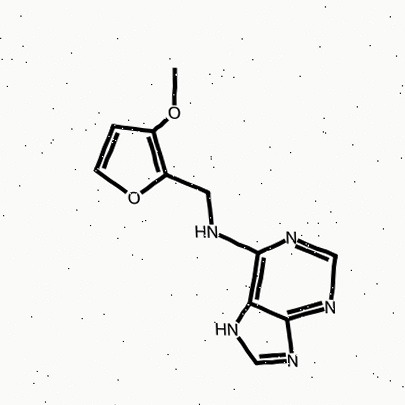 COc1ccoc1CNc1ncnc2nc[nH]c12